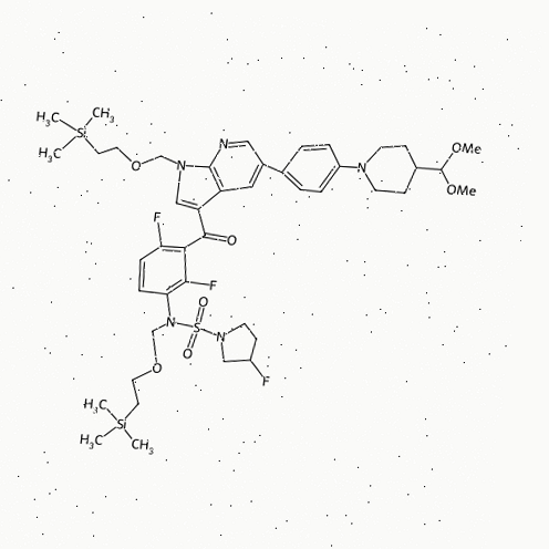 COC(OC)C1CCN(c2ccc(-c3cnc4c(c3)c(C(=O)c3c(F)ccc(N(COCC[Si](C)(C)C)S(=O)(=O)N5CCC(F)C5)c3F)cn4COCC[Si](C)(C)C)cc2)CC1